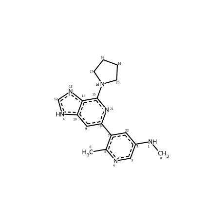 CNc1cnc(C)c(-c2cc3[nH]cnc3c(N3CCCC3)n2)c1